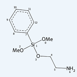 CO[Si](OC)(OCCN)c1ccccc1